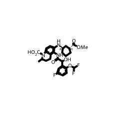 COC(=O)[C@@H]1CCC[C@@H](Nc2ccc3c(c2NC(=O)C(O)c2cc(F)ccc2OC(F)F)CCC(C)N3C(=O)O)C1